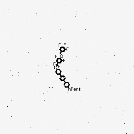 CCCCCC1CCC(c2ccc(C3CCC(OC(F)(F)c4cc(F)c(OCc5cc(F)c(F)c(F)c5)c(F)c4)CC3)cc2)CC1